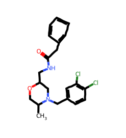 CC1COC(CNC(=O)Cc2ccccc2)CN1Cc1ccc(Cl)c(Cl)c1